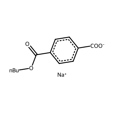 CCCCOC(=O)c1ccc(C(=O)[O-])cc1.[Na+]